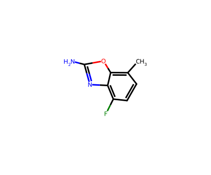 Cc1ccc(F)c2nc(N)oc12